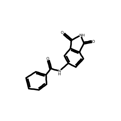 O=C(Nc1ccc2c(c1)C(=O)NC2=O)c1ccccc1